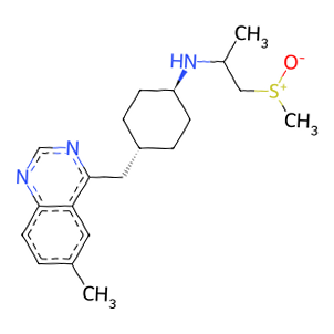 Cc1ccc2ncnc(C[C@H]3CC[C@H](NC(C)C[S+](C)[O-])CC3)c2c1